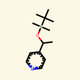 CC(O[Si](C)(C)C(C)(C)C)c1ccncc1